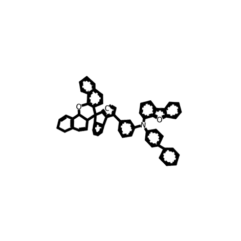 C1=CC2=C(C=CC3C2Oc2c(ccc4ccccc24)C32c3ccccc3-c3c(-c4cccc(N(c5ccc(-c6ccccc6)cc5)c5cccc6c5oc5ccccc56)c4)cccc32)CC1